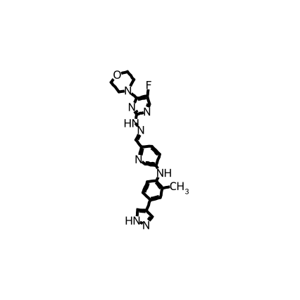 Cc1cc(-c2cn[nH]c2)ccc1Nc1ccc(/C=N/Nc2ncc(F)c(N3CCOCC3)n2)nc1